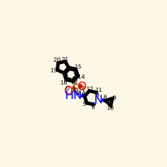 O=S(=O)(NC1CCN(C2CC2)CC1)c1ccc2c(c1)CCC2